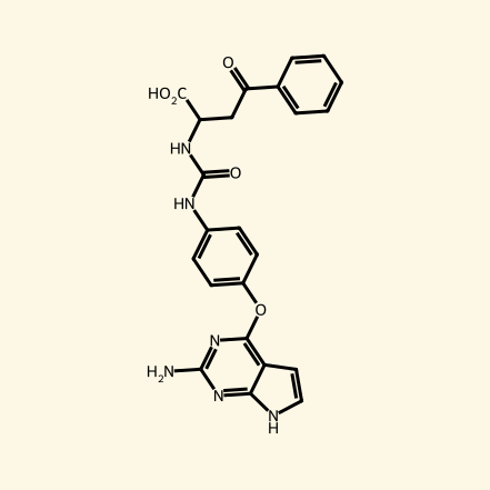 Nc1nc(Oc2ccc(NC(=O)NC(CC(=O)c3ccccc3)C(=O)O)cc2)c2cc[nH]c2n1